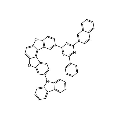 c1ccc(-c2nc(-c3ccc4ccccc4c3)nc(-c3ccc4oc5ccc6oc7cc(-n8c9ccccc9c9ccccc98)ccc7c6c5c4c3)n2)cc1